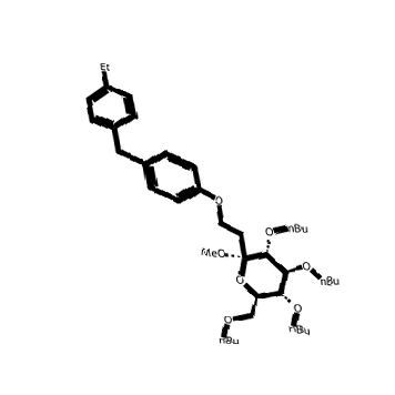 CCCCOC[C@H]1O[C@](CCOc2ccc(Cc3ccc(CC)cc3)cc2)(OC)[C@H](OCCCC)[C@@H](OCCCC)[C@@H]1OCCCC